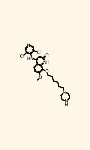 COc1ccc2c(Nc3c(Cl)cncc3Cl)cc(=O)[nH]c2c1OCCCCCCN1CCNCC1